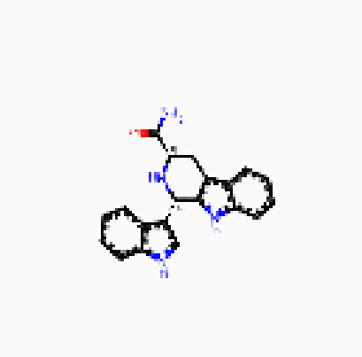 NC(=O)[C@H]1Cc2c([nH]c3ccccc23)[C@H](c2c[nH]c3ccccc23)N1